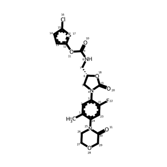 Cc1cc(N2C[C@H](CNC(=O)Oc3ccc(Cl)s3)OC2=O)c(F)cc1N1CCOCC1=O